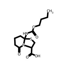 CCCCOC(=O)NC12CCCC(=O)N1C(C(=O)O)CS2